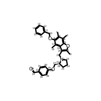 Cc1oc2c(C)c(C)c(OCc3ccccc3)c(C)c2c1CN1CCC[C@H]1COc1ccc(C=O)cc1